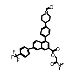 CN(C)C(=O)COC(=O)c1cc(-c2ccc(C3CCN(C=O)CC3)cc2)c2ccc(-c3ccc(C(F)(F)F)cc3)cc2c1